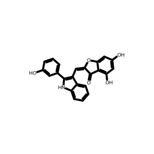 O=C1C(=Cc2c(-c3cccc(O)c3)[nH]c3ccccc23)Oc2cc(O)cc(O)c21